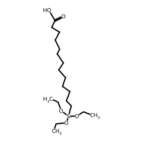 CCO[Si](CCCCCCCCCCCCC(=O)O)(OCC)OCC